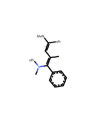 CCC/C(=C\C(C)=C(\c1ccccc1)N(C)CCC)NC